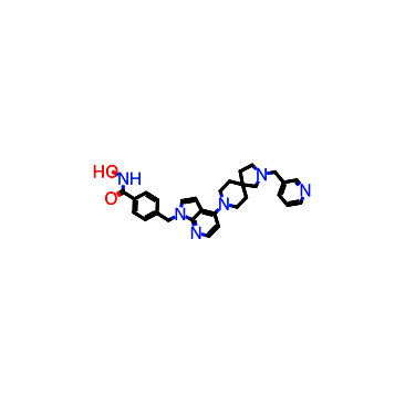 O=C(NO)c1ccc(Cn2ccc3c(N4CCC5(CCN(Cc6cccnc6)C5)CC4)ccnc32)cc1